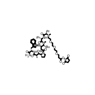 CC[C@H](C)C([C@@H](CC(=O)N1CCC[C@H]1[C@H](OC)[C@@H](C)C(=O)N[C@@H](Cc1c[nH]c2ccccc12)C(N)=O)OC)N(C)C(=O)[C@@H](NC(=O)[C@H](C(C)C)N(C)CCOCCOCCOCCC(=O)ON1C(=O)CCC1=O)C(C)C